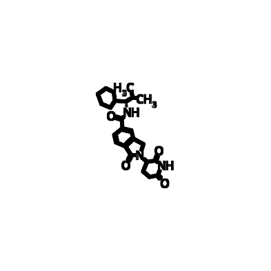 CC(C)[C@H](NC(=O)c1ccc2c(c1)CN(C1CCC(=O)NC1=O)C2=O)C1CCCCC1